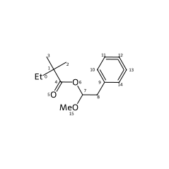 CCC(C)(C)C(=O)OC(CC1=CC=C=C=C1)OC